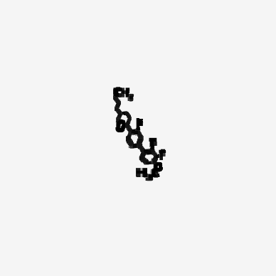 CCCCC1CCC(c2ccc(-c3ccc(OC)c(F)c3F)cc2F)OC1